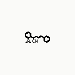 CN(C)c1ccccc1C(C#N)C/C=C/c1ccccc1